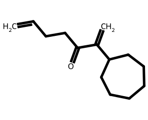 C=CCCC(=O)C(=C)C1CCCCCC1